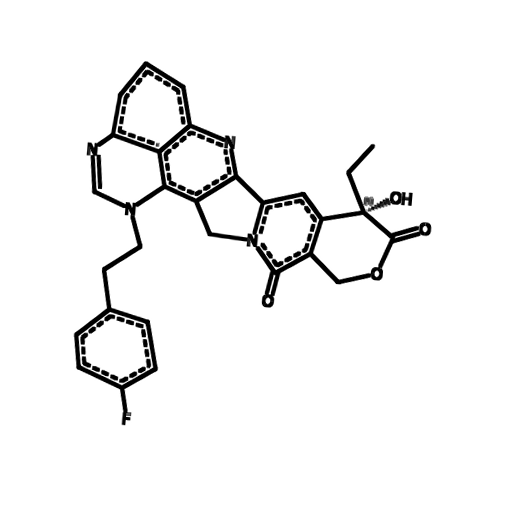 CC[C@@]1(O)C(=O)OCc2c1cc1n(c2=O)Cc2c-1nc1cccc3c1c2N(CCc1ccc(F)cc1)C=N3